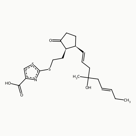 CC/C=C/CC(C)(O)C/C=C/[C@@H]1CCC(=O)[C@@H]1CCSc1nc(C(=O)O)cs1